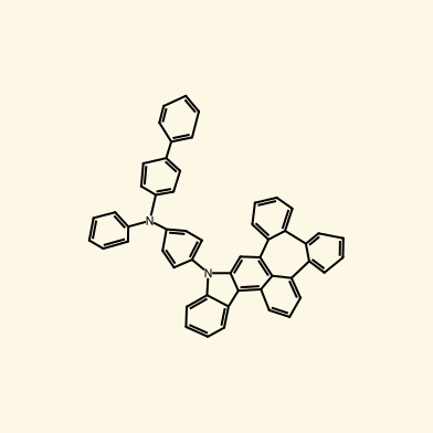 c1ccc(-c2ccc(N(c3ccccc3)c3ccc(-n4c5ccccc5c5c6cccc7c6c(cc54)-c4ccccc4-c4ccccc4-7)cc3)cc2)cc1